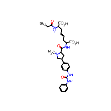 CN1CC(c2ccc(NC(=O)Nc3ccccc3)cc2)CC1C(=O)NC(CC=CCC(NC(=O)CC(C)(C)C)C(=O)O)C(=O)O